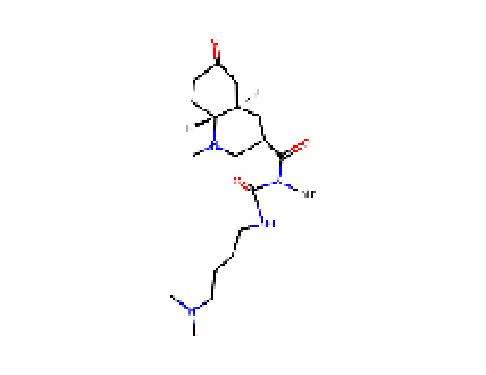 CCCN(C(=O)NCCCCN(C)C)C(=O)[C@@H]1C[C@@H]2CC(=O)CC[C@H]2N(C)C1